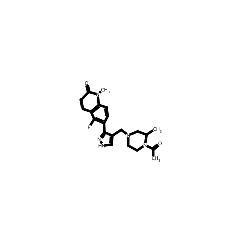 CC(=O)N1CCN(Cc2c[nH]nc2-c2ccc3c(c2F)CCC(=O)N3C)CC1C